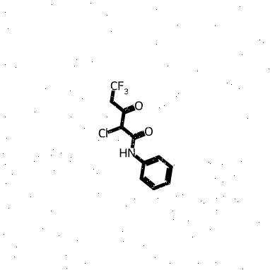 O=C(CC(F)(F)F)C(Cl)C(=O)Nc1ccccc1